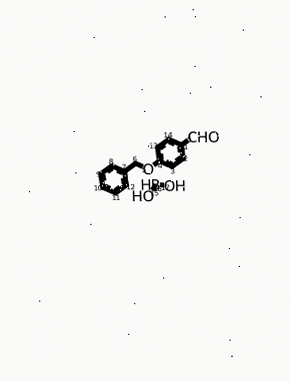 O=Cc1ccc(OCc2ccccc2)cc1.OBO